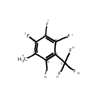 Cc1c(F)c(F)c(F)c(C(F)(F)F)c1F